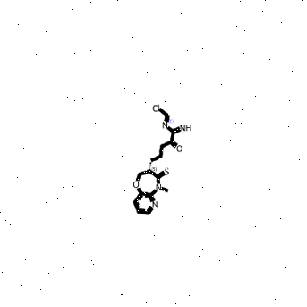 CN1C(=S)[C@@H](CCCC(=O)C(=N)/N=C/Cl)COc2cccnc21